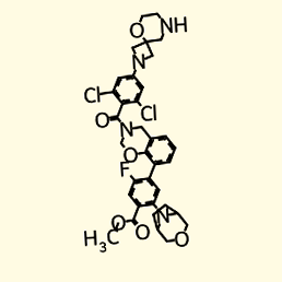 COC(=O)c1cc(F)c(-c2cccc3c2OCN(C(=O)c2c(Cl)cc(N4CC5(CNCCO5)C4)cc2Cl)C3)cc1N1C2CCC1COC2